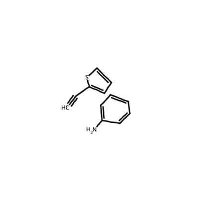 C#Cc1cccs1.Nc1ccccc1